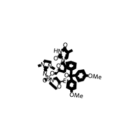 CC[C@@H]1CN([P@@](=O)(N=C2N(C)CCN2C)OC[C@H]2O[C@@H](n3cc(C)c(=O)[nH]c3=O)CC2OC(c2ccccc2)(c2ccc(OC)cc2)c2ccc(OC)cc2)CCO1